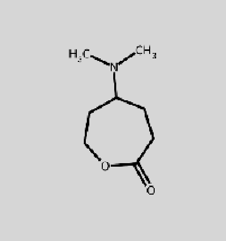 CN(C)C1CCOC(=O)CC1